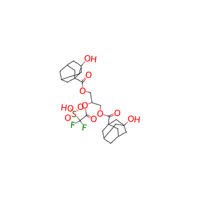 O=C(OCC(COC(=O)C12CC3CC(CC(O)(C3)C1)C2)OC(=O)C(F)(F)S(=O)(=O)O)C12CC3CC(CC(O)(C3)C1)C2